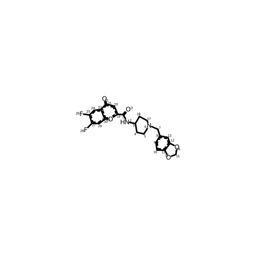 O=C(NC1CCN(Cc2ccc3c(c2)OCO3)CC1)c1cc(=O)c2cc(F)c(F)cc2o1